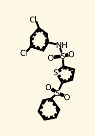 O=S(=O)(Nc1cc(Cl)cc(Cl)c1)c1ccc(S(=O)(=O)c2ccccc2)s1